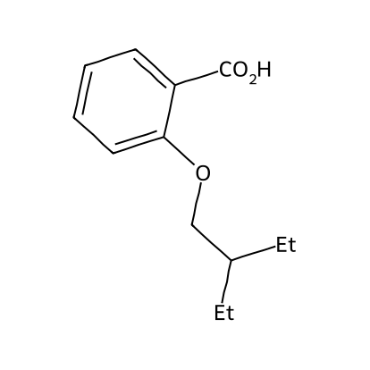 CCC(CC)COc1ccccc1C(=O)O